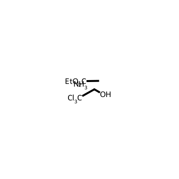 CCOC(C)=O.N.OCC(Cl)(Cl)Cl